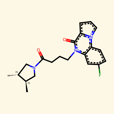 C[C@@H]1CN(C(=O)CCCn2c(=O)c3cccn3c3ccc(F)cc32)C[C@H]1C